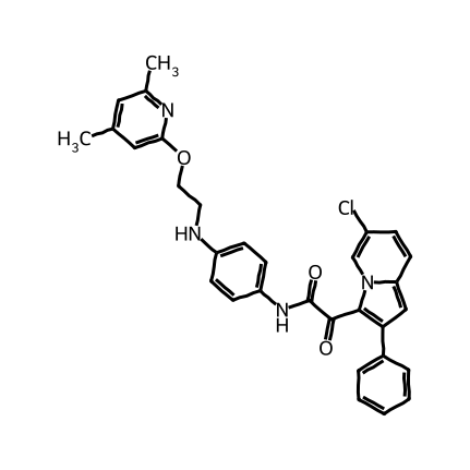 Cc1cc(C)nc(OCCNc2ccc(NC(=O)C(=O)c3c(-c4ccccc4)cc4ccc(Cl)cn34)cc2)c1